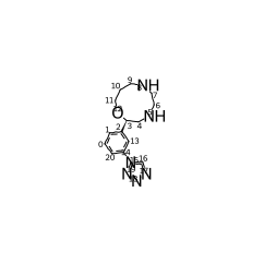 c1cc([C@@H]2CNCCNCCCO2)cc(-n2cnnn2)c1